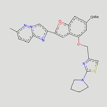 COc1cc(OCc2csc(N3CCCC3)n2)c2cc(-c3cn4nc(C)ccc4n3)oc2c1